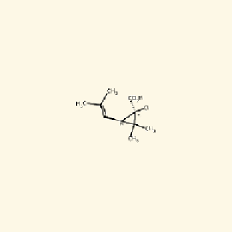 CC(C)=C[C@@H]1C(C)(C)[C@@]1(Cl)C(=O)O